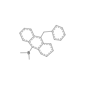 CB(C)c1c2ccccc2c(Cc2ccccc2)c2ccccc12